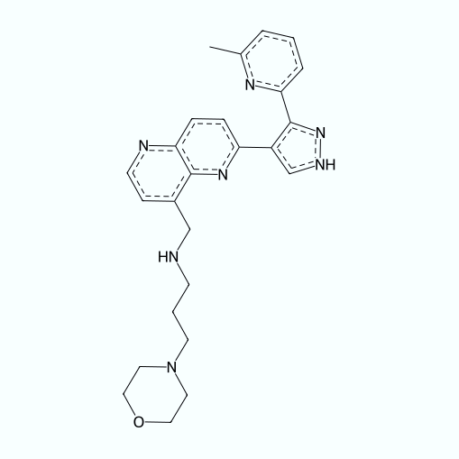 Cc1cccc(-c2n[nH]cc2-c2ccc3nccc(CNCCCN4CCOCC4)c3n2)n1